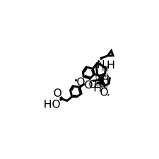 COc1ccc2c3c1O[C@H]1[C@@]4(OC)CC[C@@]5(C[C@@H]4COCc4ccc(CC(=O)O)cc4)[C@@H](C2)N(CC2CC2)CC[C@]315